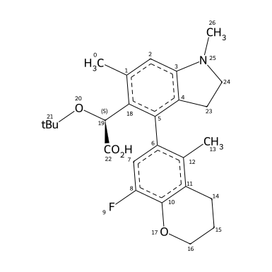 Cc1cc2c(c(-c3cc(F)c4c(c3C)CCCO4)c1[C@H](OC(C)(C)C)C(=O)O)CCN2C